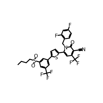 CCCCS(=O)(=O)c1cc(-c2ccc(-c3cc(C(F)(F)F)c(C#N)c(=O)n3Cc3ccc(F)cc3F)s2)cc(C(F)(F)F)c1